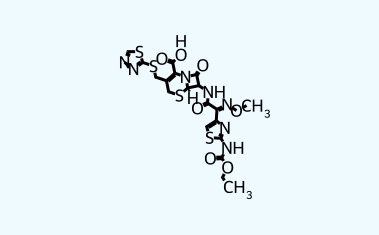 CCOC(=O)Nc1nc(C(=NOC)C(=O)NC2C(=O)N3C(C(=O)O)=C(CSc4nncs4)CS[C@@H]23)cs1